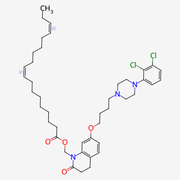 CC/C=C\CCCC/C=C\CCCCCCCC(=O)OCN1C(=O)CCc2ccc(OCCCCN3CCN(c4cccc(Cl)c4Cl)CC3)cc21